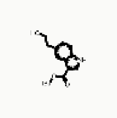 CC(C)(C)OC(=O)c1c[nH]c2ccc(CCO)cc12